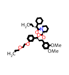 C=CCOCCOc1cccc([C@H](CCc2ccc(OC)c(OC)c2)OC(=O)[C@@H]2CCCCN2C(=O)[C@H](CC=C)C2CCCCC2)c1